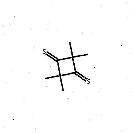 CC1(C)C(=S)C(C)(C)C1=S